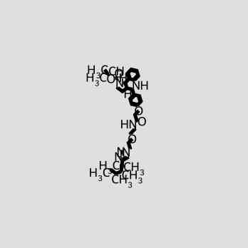 CCC(C)C(C)C(C)(C)c1cn(CCOCCNC(=O)COc2ccc(C3Nc4ccccc4[C@@H]4[C@H]3CCN4C(=O)OC(C)(C)C)cc2)nn1